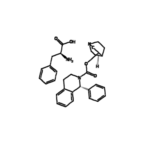 N[C@@H](Cc1ccccc1)C(=O)O.O=C(O[C@H]1CN2CCC1CC2)N1CCc2ccccc2[C@H]1c1ccccc1